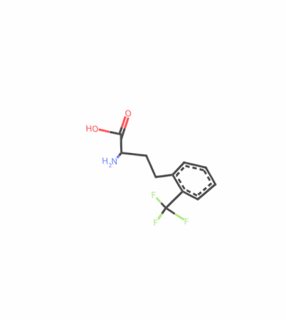 NC(CCc1ccccc1C(F)(F)F)C(=O)O